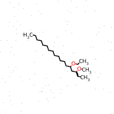 [CH2]CCCCCCCCCCCCC(CC(=CC)OC)OCC